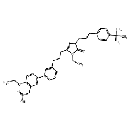 CCOc1ccc(-c2cccc(CCCC3=NC(CCCc4ccc(C(C)(C)C)cc4)C(=O)N3CC)c2)cc1CC(=O)O